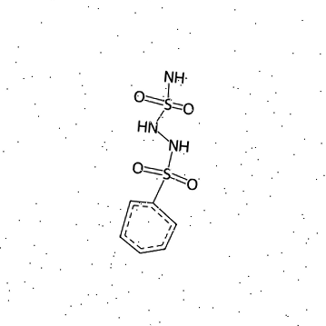 [NH]S(=O)(=O)NNS(=O)(=O)c1ccccc1